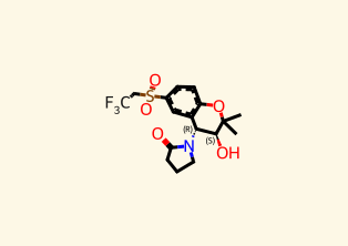 CC1(C)Oc2ccc(S(=O)(=O)CC(F)(F)F)cc2[C@@H](N2CCCC2=O)[C@@H]1O